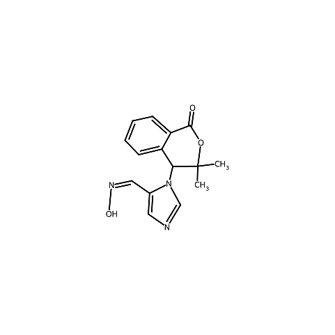 CC1(C)OC(=O)c2ccccc2C1n1cncc1/C=N\O